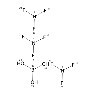 FN(F)F.FN(F)F.FN(F)F.OB(O)O